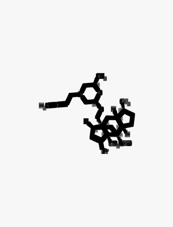 C=C=CCN1C[C@H](OC[C@@]23C[C@@H]4[C@H](C)CC[C@H]4[C@]4(C=O)C[C@@H]2C=C(C(C)C)[C@@]34C(=O)O)O[C@H](C)C1